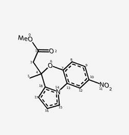 COC(=O)CC1(C)Oc2ccc([N+](=O)[O-])cc2-n2cccc21